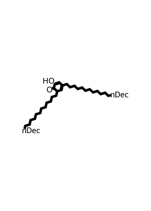 CCCCCCCCCCCCCCCCCCCCCCC1=CC(CCCCCCCCCCCCCCCCCCCCCC)C(=O)C(O)=C1